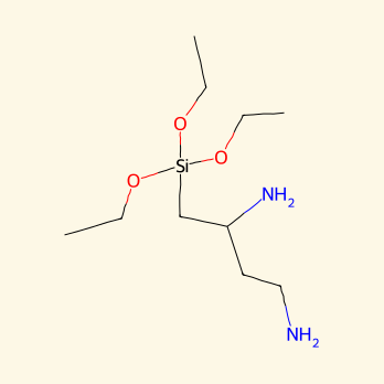 CCO[Si](CC(N)CCN)(OCC)OCC